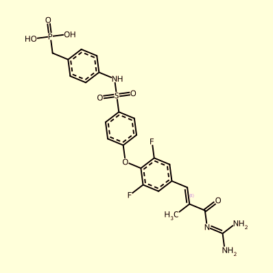 C/C(=C\c1cc(F)c(Oc2ccc(S(=O)(=O)Nc3ccc(CP(=O)(O)O)cc3)cc2)c(F)c1)C(=O)N=C(N)N